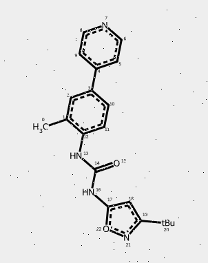 Cc1cc(-c2ccncc2)ccc1NC(=O)Nc1cc(C(C)(C)C)no1